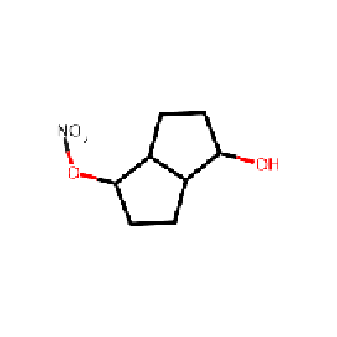 O=[N+]([O-])OC1CCC2C(O)CCC12